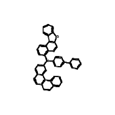 c1ccc(-c2ccc(N(c3ccc4ccc5ccc6ccccc6c5c4c3)c3cccc4c3ccc3oc5ccccc5c34)cc2)cc1